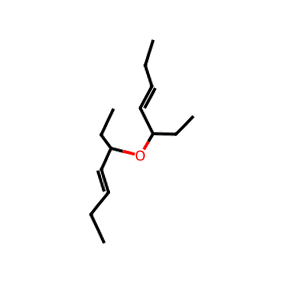 CCC=CC(CC)OC(C=CCC)CC